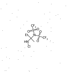 CCC(C)(NCl)N(S(=O)(=O)C(F)(F)F)S(=O)(=O)C(F)(F)F